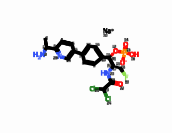 CC(N)c1ccc(-c2ccc([C@@H](OP(=O)([O-])O)[C@@H](CF)NC(=O)C(Cl)Cl)cc2)cn1.[Na+]